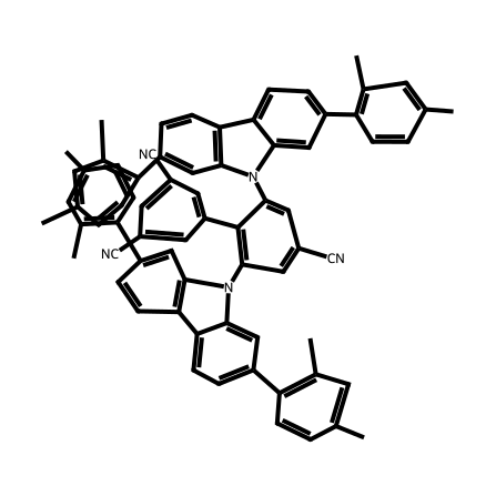 Cc1ccc(-c2ccc3c4ccc(-c5ccc(C)cc5C)cc4n(-c4cc(C#N)cc(-n5c6cc(-c7ccc(C)cc7C)ccc6c6ccc(-c7ccc(C)cc7C)cc65)c4-c4cc(C#N)cc(C#N)c4)c3c2)c(C)c1